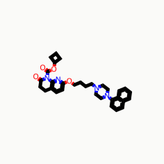 O=C1CCc2ccc(OCCCCN3CCN(c4cccc5ccccc45)CC3)nc2N1C(=O)OC1CCC1